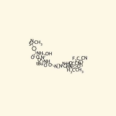 Cc1ncsc1-c1ccc(C(NC(=O)[C@@H]2C[C@@H](O)CN2C(=O)C(NC(=O)COCCN2CCN(c3ccc(C(=O)N[C@H]4C(C)(C)[C@H](Oc5ccc(C#N)c(C(F)(F)F)c5)C4(C)C)cn3)CC2)C(C)(C)C)C2COC2)cc1